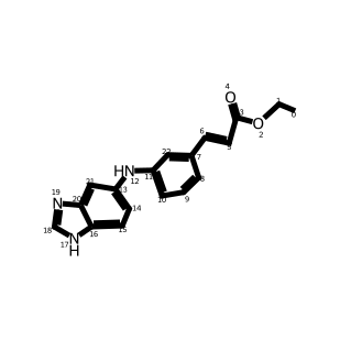 CCOC(=O)/C=C/c1cccc(Nc2ccc3[nH]cnc3c2)c1